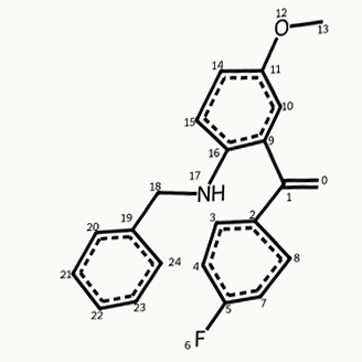 C=C(c1ccc(F)cc1)c1cc(OC)ccc1NCc1ccccc1